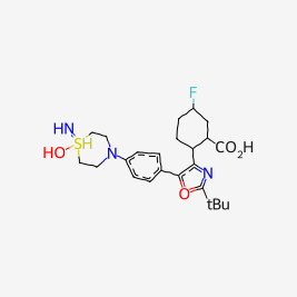 CC(C)(C)c1nc(C2CCC(F)CC2C(=O)O)c(-c2ccc(N3CC[SH](=N)(O)CC3)cc2)o1